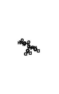 CC(=O)Nc1ccc(C(=O)N2C[C@@H]([C@H](C)Oc3ccc(Cl)cn3)[C@@H](c3ccc(Cl)c(Cl)c3)C2)cn1